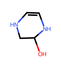 OC1CNC=CN1